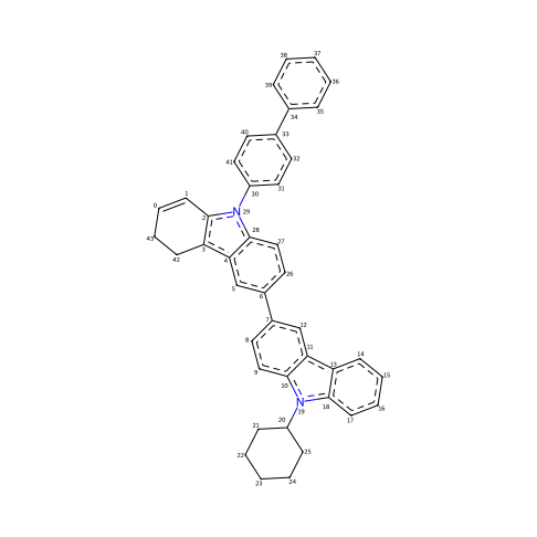 C1=Cc2c(c3cc(-c4ccc5c(c4)c4ccccc4n5C4CCCCC4)ccc3n2-c2ccc(-c3ccccc3)cc2)CC1